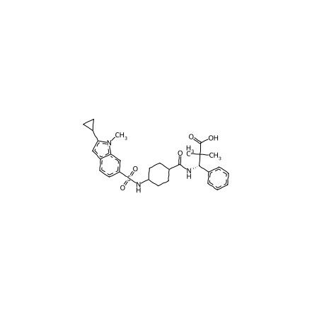 Cn1c(C2CC2)cc2ccc(S(=O)(=O)NC3CCC(C(=O)N[C@@H](c4ccccc4)C(C)(C)C(=O)O)CC3)cc21